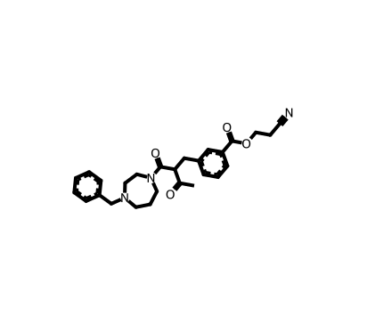 CC(=O)C(Cc1cccc(C(=O)OCCC#N)c1)C(=O)N1CCCN(Cc2ccccc2)CC1